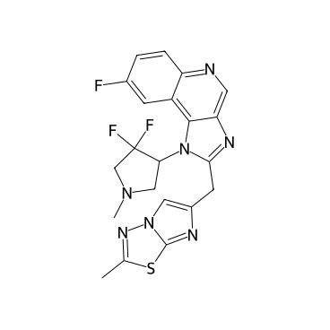 Cc1nn2cc(Cc3nc4cnc5ccc(F)cc5c4n3C3CN(C)CC3(F)F)nc2s1